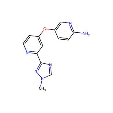 Cn1cnc(-c2cc(Oc3ccc(N)nc3)ccn2)n1